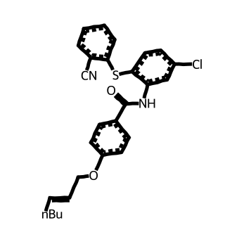 CCCCC=CCOc1ccc(C(=O)Nc2cc(Cl)ccc2Sc2ccccc2C#N)cc1